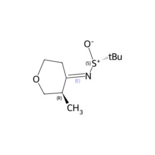 C[C@H]1COCC/C1=N\[S@+]([O-])C(C)(C)C